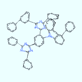 c1ccc(-c2cccc(-c3nc(-c4ccccc4)nc(-c4cc(-c5nc(-c6ccccc6)nc(-c6ccccc6)n5)ccc4-n4c5ccccc5c5c(-c6ccccc6)cccc54)n3)c2)cc1